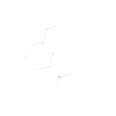 CC(C)(C)OC(=O)N1CCOC(CC(=O)O)C1